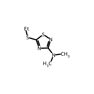 CCSc1nc(N(C)C)ns1